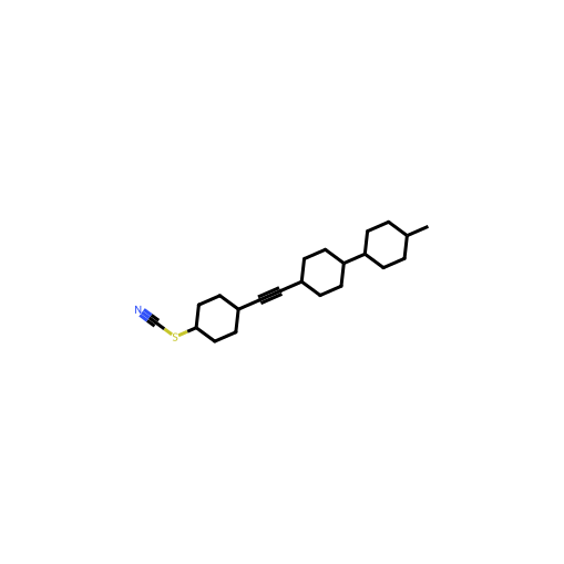 CC1CCC(C2CCC(C#CC3CCC(SC#N)CC3)CC2)CC1